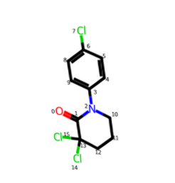 O=C1N(c2ccc(Cl)cc2)CCCC1(Cl)Cl